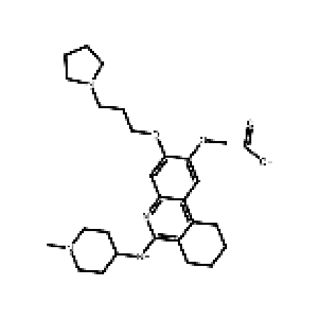 COc1cc2c3c(c(NC4CCN(C)CC4)nc2cc1OCCCN1CCCC1)CCCC3.O=CO